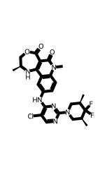 C[C@@H]1CN(c2ncc(Cl)c(Nc3ccc4c(c3)c3c(c(=O)n4C)C(=O)OC[C@H](C)N3)n2)C[C@H](C)C1(F)F